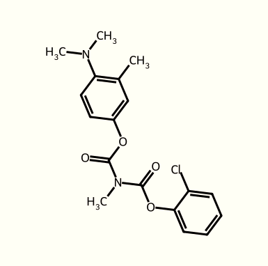 Cc1cc(OC(=O)N(C)C(=O)Oc2ccccc2Cl)ccc1N(C)C